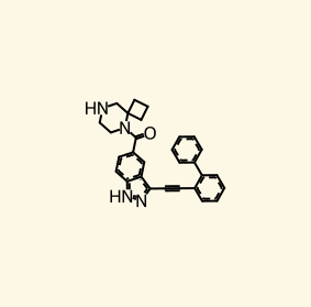 O=C(c1ccc2[nH]nc(C#Cc3ccccc3-c3ccccc3)c2c1)N1CCNCC12CCC2